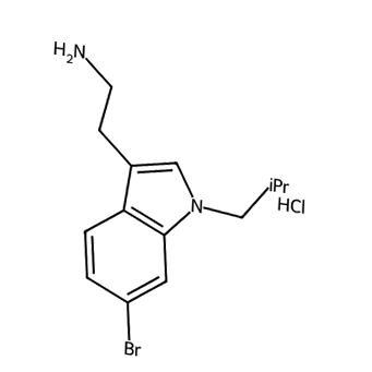 CC(C)Cn1cc(CCN)c2ccc(Br)cc21.Cl